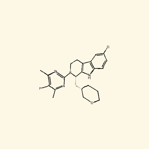 Cc1nc(N2CCc3c([nH]c4ccc(Cl)cc34)[C@@H]2C[C@@H]2CCCOC2)nc(C)c1F